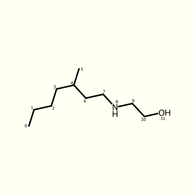 CCCCC(C)CCNCCO